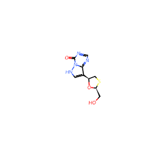 O=c1ncnc2c([C@H]3CS[C@@H](CO)O3)c[nH]n12